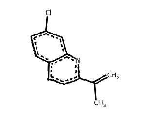 C=C(C)c1ccc2ccc(Cl)cc2n1